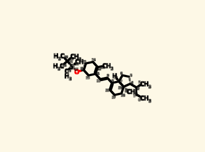 CC[C@H](C)[C@H]1CC[C@H]2C(/C=C/C3=C(C)CC[C@H](O[Si](C)(C)C(C)(C)C)C3)=CCC[C@]12C